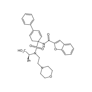 CC(C)[C@@H](C(=O)O)N(CCN1CCOCC1)S(=O)(=O)C1(NC(=O)c2cc3ccccc3o2)C=CC(c2ccccc2)=CC1